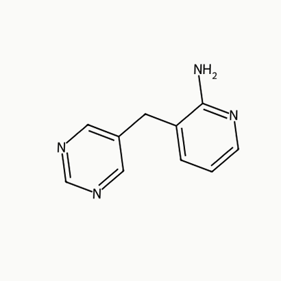 Nc1ncccc1Cc1cncnc1